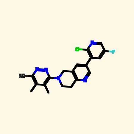 Cc1c(C#N)nnc(N2CCc3ncc(-c4cc(F)cnc4Cl)cc3C2)c1C